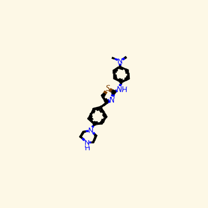 CN(C)c1ccc(Nc2nc(-c3ccc(N4CCNCC4)cc3)cs2)cc1